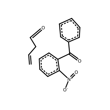 C=CCC=O.O=C(c1ccccc1)c1ccccc1[N+](=O)[O-]